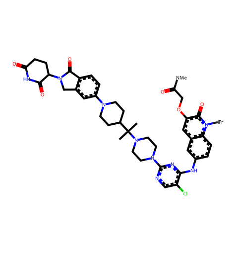 CNC(=O)COc1cc2cc(Nc3nc(N4CCN(C(C)(C)C5CCN(c6ccc7c(c6)CN(C6CCC(=O)NC6=O)C7=O)CC5)CC4)ncc3Cl)ccc2n(C(C)C)c1=O